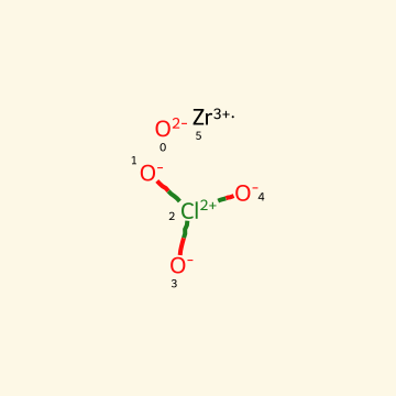 [O-2].[O-][Cl+2]([O-])[O-].[Zr+3]